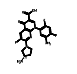 Nc1cc(-n2cc(C(=O)O)c(=O)c3cc(F)c(N4CC[C@H](N)C4)nc32)c(F)cc1F